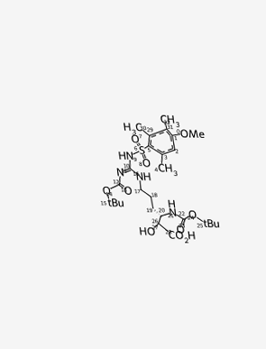 COc1cc(C)c(S(=O)(=O)N/C(=N/C(=O)OC(C)(C)C)NCCC[C@H](NC(=O)OC(C)(C)C)C(O)C(=O)O)c(C)c1C